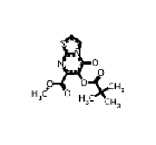 COC(=O)c1nc2sccn2c(=O)c1OC(=O)C(C)(C)C